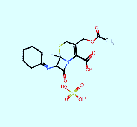 CC(=O)OCC1=C(C(=O)O)N2C(=O)C(N=C3CCCCC3)[C@@H]2SC1.O=S(=O)(O)O